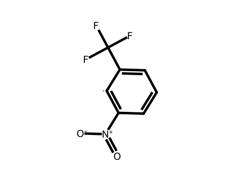 O=[N+]([O-])c1[c]c(C(F)(F)F)ccc1